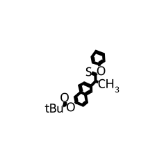 CC(C(=S)Oc1ccccc1)c1ccc2cc(OC(=O)C(C)(C)C)ccc2c1